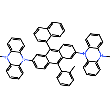 Cc1ccccc1-c1c2cc(N3c4ccccc4N(C)c4ccccc43)ccc2c(-c2cccc3ccccc23)c2cc(N3c4ccccc4N(C)c4ccccc43)ccc12